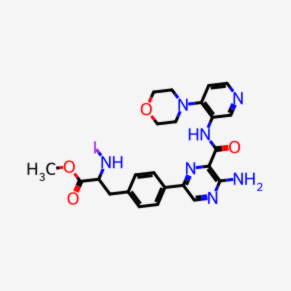 COC(=O)C(Cc1ccc(-c2cnc(N)c(C(=O)Nc3cnccc3N3CCOCC3)n2)cc1)NI